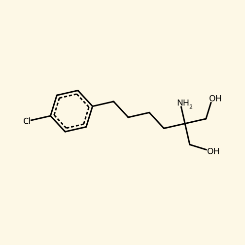 NC(CO)(CO)CCCCc1ccc(Cl)cc1